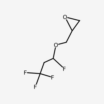 FC(CC(F)(F)F)OCC1CO1